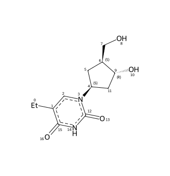 CCc1cn([C@H]2C[C@@H](CO)[C@H](O)C2)c(=O)[nH]c1=O